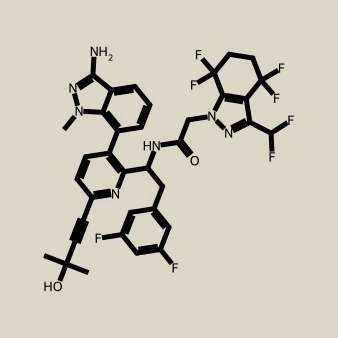 Cn1nc(N)c2cccc(-c3ccc(C#CC(C)(C)O)nc3C(Cc3cc(F)cc(F)c3)NC(=O)Cn3nc(C(F)F)c4c3C(F)(F)CCC4(F)F)c21